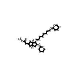 COC(=O)C=C1C[C@@H]2C[C@@H](OC3CCCCO3)[C@H](C=CCCCCCCOC3CCCCO3)[C@@H]2C1